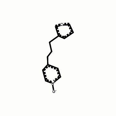 [O-][n+]1ccc(CCCc2ccccc2)cc1